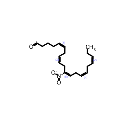 CC/C=C\C/C=C\C/C=C(\C/C=C\C/C=C\CCC[C]=O)[N+](=O)[O-]